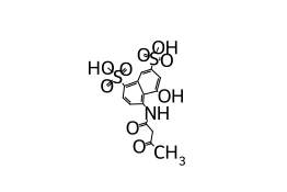 CC(=O)CC(=O)Nc1ccc(S(=O)(=O)O)c2cc(S(=O)(=O)O)cc(O)c12